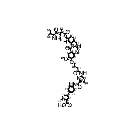 COc1cc2c(cc1OCCCC(=O)Nc1cn(C)c(C(=O)Nc3ccc(-c4cc(C(=O)O)n(C)c4)cc3)n1)N=C[C@@H]1Cc3ccc(NC(=O)C(C)NC(=O)C(N)C(C)C)cc3N1C2=O